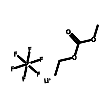 CCOC(=O)OC.F[P-](F)(F)(F)(F)F.[Li+]